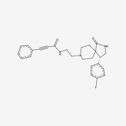 O=C(C#Cc1ccccc1)NCCN1CCC2(CC1)C(=O)NC[C@@H]2c1ccc(F)cc1